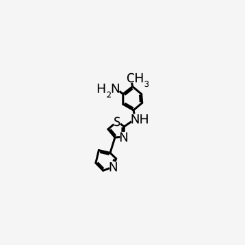 Cc1ccc(Nc2nc(-c3cccnc3)cs2)cc1N